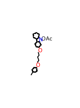 CC(=O)On1c2ccccc2c2ccc(OCCCCCOc3ccc(C)cc3)cc21